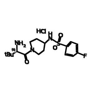 CC(C)(C)[C@H](N)C(=O)N1CCC(NS(=O)(=O)c2ccc(F)cc2)CC1.Cl